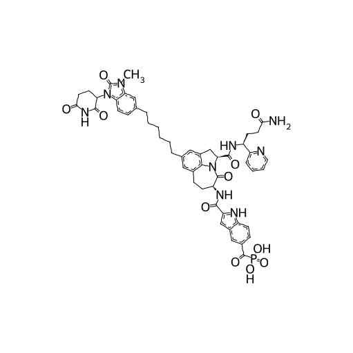 Cn1c(=O)n(C2CCC(=O)NC2=O)c2ccc(CCCCCCc3cc4c5c(c3)C[C@@H](C(=O)N[C@@H](CCC(N)=O)c3ccccn3)N5C(=O)[C@@H](NC(=O)c3cc5cc(C(=O)P(=O)(O)O)ccc5[nH]3)CC4)cc21